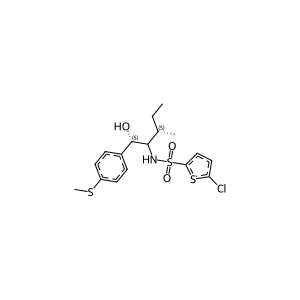 CC[C@H](C)C(NS(=O)(=O)c1ccc(Cl)s1)[C@@H](O)c1ccc(SC)cc1